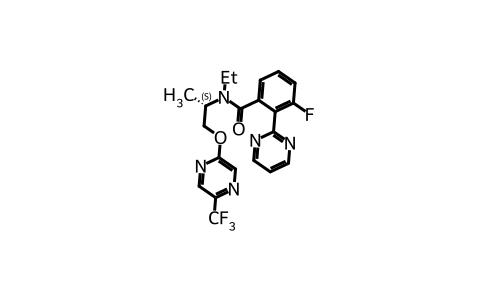 CCN(C(=O)c1cccc(F)c1-c1ncccn1)[C@@H](C)COc1cnc(C(F)(F)F)cn1